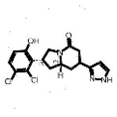 O=C1CC(c2cc[nH]n2)C[C@@H]2C[C@H](c3c(O)ccc(Cl)c3Cl)CN12